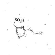 CC(C)CSc1cncc(CS(=O)(=O)O)n1